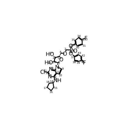 O=P(COC[C@H]1O[C@@H](n2ccc3c(NC4CCCC4)nc(Cl)nc32)[C@H](O)[C@@H]1O)(Oc1ccc(F)cc1)Oc1ccc(F)cc1